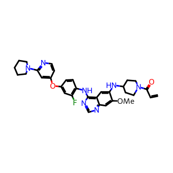 C=CC(=O)N1CCC(Nc2cc3c(Nc4ccc(Oc5ccnc(N6CCCCC6)c5)cc4F)ncnc3cc2OC)CC1